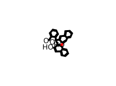 O=C1OC(c2cc3ccccc3cc2O)(c2cc3ccccc3cc2O)c2ccccc21